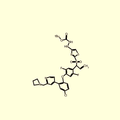 C=CC(c1cc(F)c(Oc2ccc(Cl)cc2-c2ccnc(CN3CCC3)c2)cc1F)S(=O)(=O)c1nc(NNC(=O)OC(C)(C)C)cs1